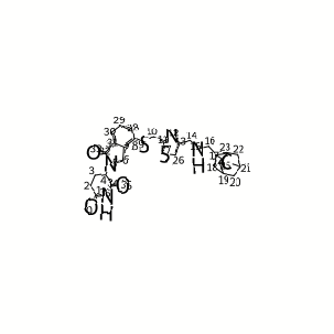 O=C1CCC(N2Cc3c(SCc4nc(CNCC56CC7CC(CC5C7)C6)cs4)cccc3C2=O)C(=O)N1